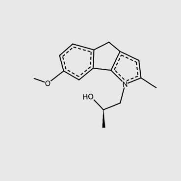 COc1ccc2c(c1)-c1c(cc(C)n1C[C@@H](C)O)C2